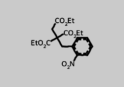 CCOC(=O)CC(Cc1ccccc1[N+](=O)[O-])(C(=O)OCC)C(=O)OCC